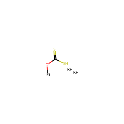 CCOC(=S)S.[KH].[KH]